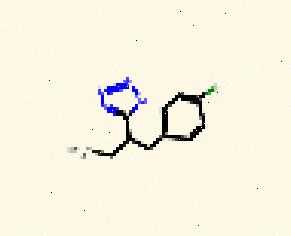 O=C(O)CC(Cc1ccc(Br)cc1)c1nnn[nH]1